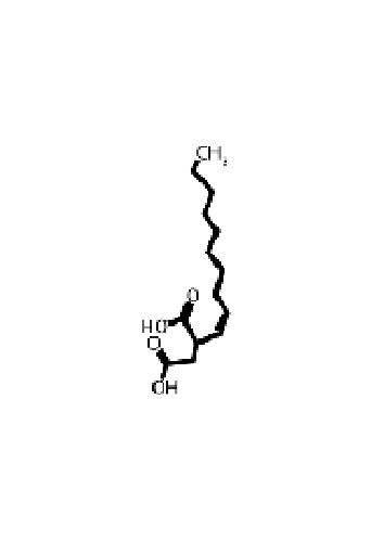 CCCCCCCC/C=C\C(CC(=O)O)C(=O)O